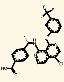 C[C@H](Nc1nccc2c(Cl)cnc(Oc3cccc(C(F)(F)F)c3)c12)c1ccc(C(=O)O)cc1